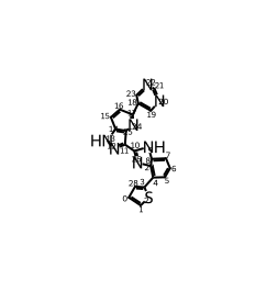 c1csc(-c2cccc3[nH]c(-c4n[nH]c5ccc(-c6cncnc6)nc45)nc23)c1